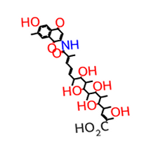 C/C(=C\C(CO)C(O)C(C)C(O)C(C)C(O)C(C)C(O)C(C)/C=C/C=C(\C)C(=O)NC1=CC(=O)c2cc(O)c(C)cc2C1=O)C(=O)O